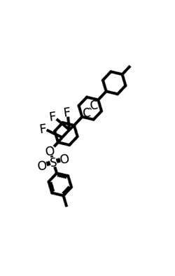 Cc1ccc(S(=O)(=O)OC23CCC(C45CCC(C6CCC(C)CC6)(CC4)CC5)(CC2)C(F)(F)C3F)cc1